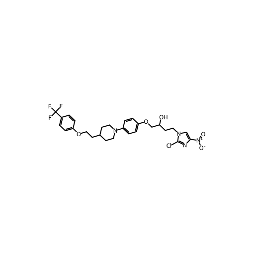 O=[N+]([O-])c1cn(CCC(O)COc2ccc(N3CCC(CCOc4ccc(C(F)(F)F)cc4)CC3)cc2)c(Cl)n1